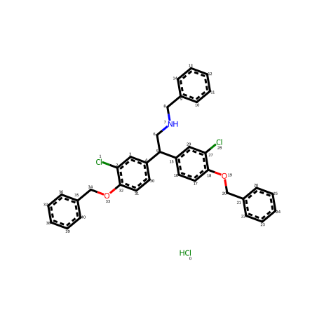 Cl.Clc1cc(C(CNCc2ccccc2)c2ccc(OCc3ccccc3)c(Cl)c2)ccc1OCc1ccccc1